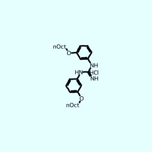 CCCCCCCCOc1cccc(NC(=N)Nc2cccc(OCCCCCCCC)c2)c1.Cl